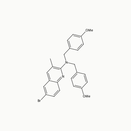 COc1ccc(CN(Cc2ccc(OC)cc2)c2nc3ccc(Br)cc3cc2C)cc1